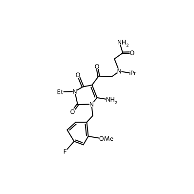 CCn1c(=O)c(C(=O)CN(CC(N)=O)C(C)C)c(N)n(Cc2ccc(F)cc2OC)c1=O